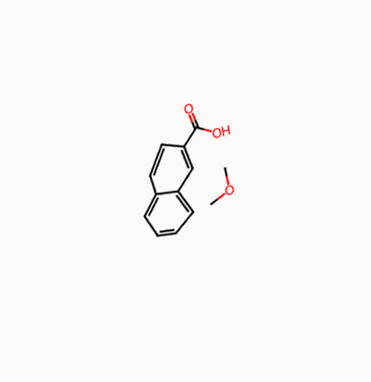 COC.O=C(O)c1ccc2ccccc2c1